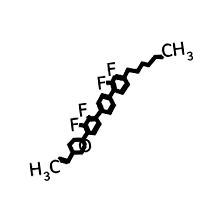 C/C=C/C1CCC(c2ccc(-c3ccc(-c4ccc(CCCCCCC)c(F)c4F)cc3)c(F)c2F)OC1